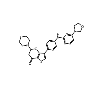 O=C1CC(N2CCOCC2)Oc2c(-c3ccc(Nc4nccc(N5CCOC5)n4)cc3)csc21